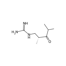 CC(C)C(=O)[C@H](C)CNC(=N)N